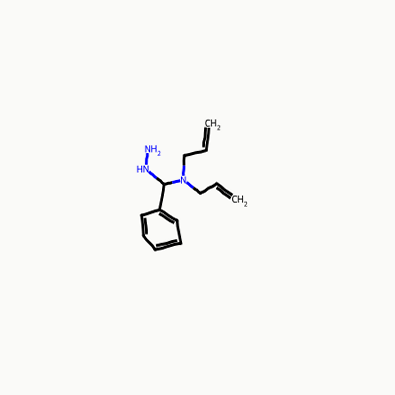 C=CCN(CC=C)C(NN)c1ccccc1